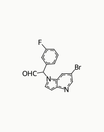 O=CC(c1cccc(F)c1)n1ccc2ncc(Br)cc21